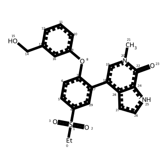 CCS(=O)(=O)c1ccc(Oc2cccc(CO)c2)c(-c2cn(C)c(=O)c3[nH]ccc23)c1